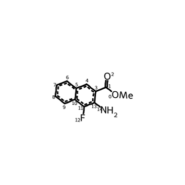 COC(=O)c1cc2ccccc2c(F)c1N